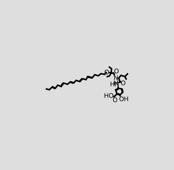 CCC=CCC=CCC=CCC=CCC=CCCCCOC(CC)(CC)C(=O)NC(CC(C)C)C(=O)Nc1ccc(O)c(C(=O)O)c1